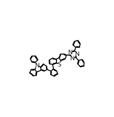 c1ccc(-c2nc(-c3ccccc3)nc(-c3ccc4c(c3)sc3c(-c5ccccc5-c5ccc6c(c5)c5ccccc5n6-c5ccccc5)cccc34)n2)cc1